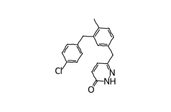 Cc1ccc(Cc2ccc(=O)[nH]n2)cc1Cc1ccc(Cl)cc1